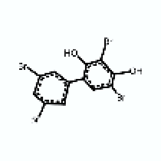 Oc1c(Br)cc(-c2cc(Br)cc(Br)c2)c(O)c1Br